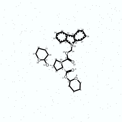 O=C(OC1CCCCO1)[C@@H]1C[C@H](OC2CCCCO2)CN1C(=O)OCn1c2ccccc2c2ccccc21